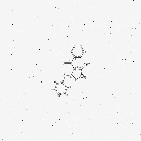 C=C(c1ccccc1)N1C(=O)OCC1Cc1ccccc1